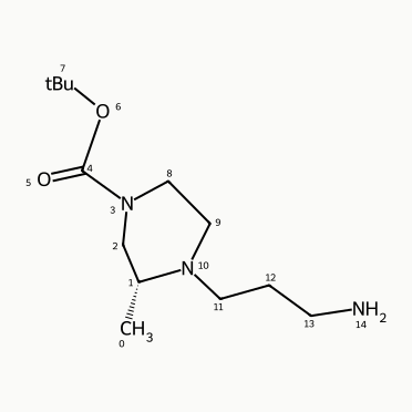 C[C@@H]1CN(C(=O)OC(C)(C)C)CCN1CCCN